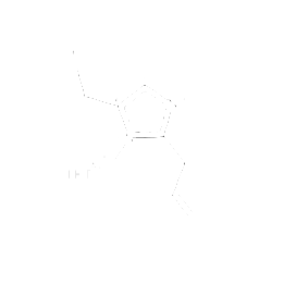 C=CCc1ncc(CCl)n1OC(C)=O.Cl